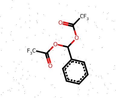 O=C(OC(OC(=O)C(F)(F)F)c1ccccc1)C(F)(F)F